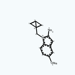 COc1ccc2c(c1)cc(N)n2CC12CC1C2